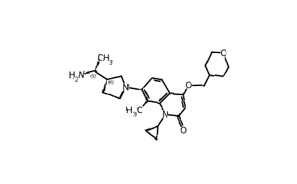 Cc1c(N2CC[C@@H]([C@H](C)N)C2)ccc2c(OCC3CCOCC3)cc(=O)n(C3CC3)c12